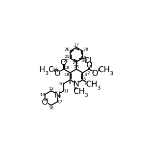 COC(=O)C1=C(C)N(C)C(CCN2CCOCC2)=C(C(=O)OC)C1c1ccccc1Cl